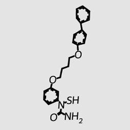 NC(=O)N(S)c1cccc(OCCCCOc2ccc(-c3ccccc3)cc2)c1